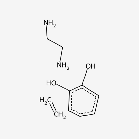 C=C.NCCN.Oc1ccccc1O